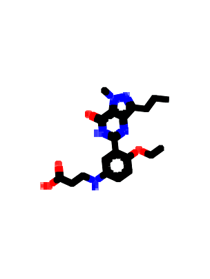 CCCc1nn(C)c2c(=O)[nH]c(-c3cc(NCCC(=O)O)ccc3OCC)nc12